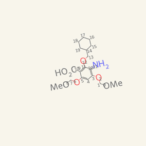 COCOc1cc(OCOC)c(C(=O)O)c(OCC2CCCCC2)c1N